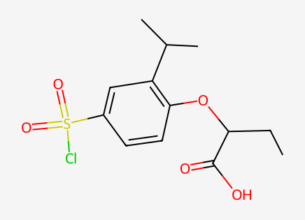 CCC(Oc1ccc(S(=O)(=O)Cl)cc1C(C)C)C(=O)O